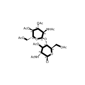 CC(=O)N[C@H]1[C@H](O[C@H]2C(OC(C)=O)[C@@H](NC(C)=O)[C@H](Cl)O[C@@H]2COC(C)=O)O[C@H](COC(C)=O)[C@@H](OC(C)=O)[C@@H]1OC(C)=O